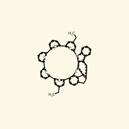 CCc1cc2cc(c1)-c1ccc3c4c1Cc1c-4c(cc4c5ccccc5n(c14)-c1cc(CC)cc(c1)-c1cccc(c1)-c1cccc(c1)-c1cccc-2c1)C3